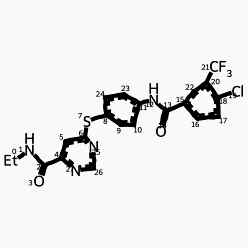 CCNC(=O)c1cc(Sc2ccc(NC(=O)c3ccc(Cl)c(C(F)(F)F)c3)cc2)ncn1